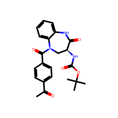 CC(=O)c1ccc(C(=O)N2C[C@H](NC(=O)OC(C)(C)C)C(=O)Nc3ccccc32)cc1